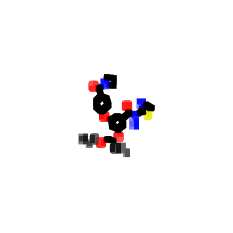 COC[C@H](C)Oc1cc(Oc2ccc(C(=O)N3CCC3)cc2)cc(C(=O)Nc2nccs2)c1